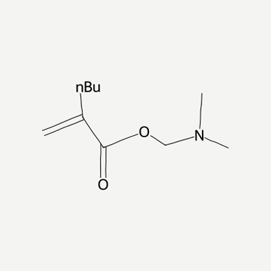 C=C(CCCC)C(=O)OCN(C)C